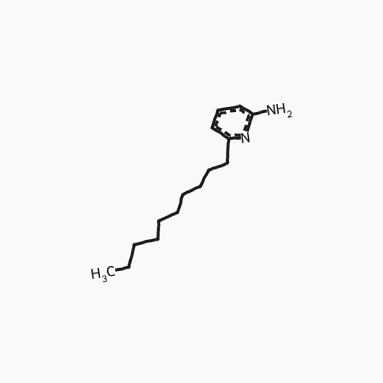 CCCCCCCCCCc1cccc(N)n1